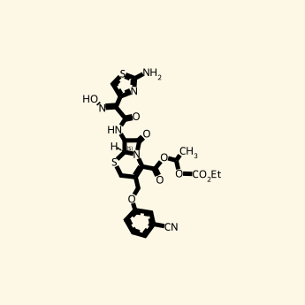 CCOC(=O)OC(C)OC(=O)C1=C(COc2cccc(C#N)c2)CS[C@H]2C(NC(=O)C(=NO)c3csc(N)n3)C(=O)N12